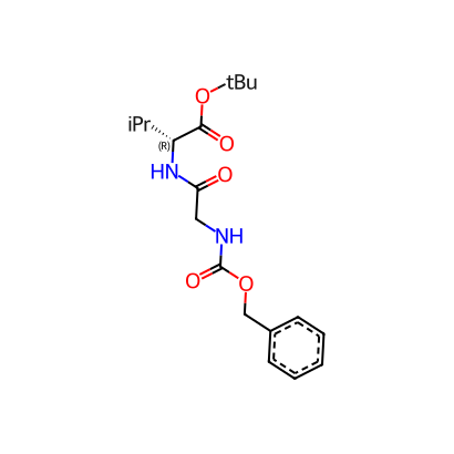 CC(C)[C@@H](NC(=O)CNC(=O)OCc1ccccc1)C(=O)OC(C)(C)C